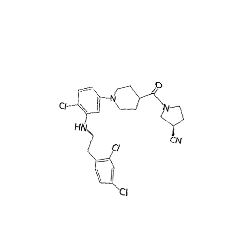 N#C[C@@H]1CCN(C(=O)C2CCN(c3ccc(Cl)c(NCCc4ccc(Cl)cc4Cl)c3)CC2)C1